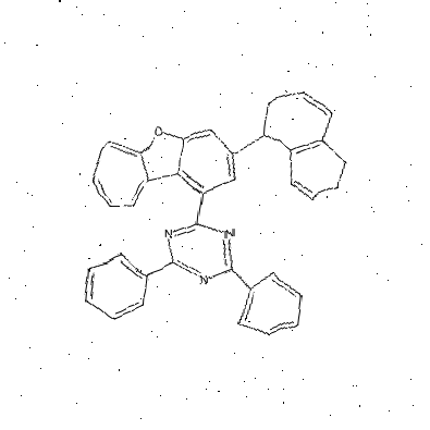 C1=CC2=C(C=CCC2c2cc(-c3nc(-c4ccccc4)nc(-c4ccccc4)n3)c3c(c2)oc2ccccc23)CC1